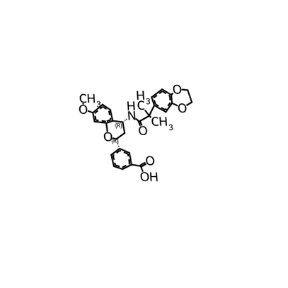 COc1ccc2c(c1)O[C@@H](c1cccc(C(=O)O)c1)C[C@H]2NC(=O)C(C)(C)c1ccc2c(c1)OCCO2